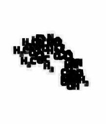 COC(=O)N[C@H](C(=O)N1[C@H](C)CC[C@@H]1c1nc2ccc3cc4c(cc3c2[nH]1)OCc1cc(-c2cnc([C@@H]3CC[C@H](C)N3C(=O)[C@@H](NC(=O)O)C(C)C)[nH]2)ccc1-4)C1C[C@@H](C)O[C@H](C)C1